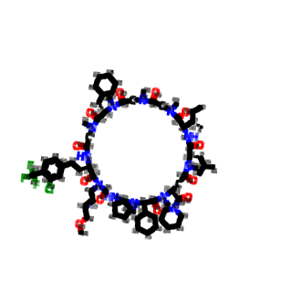 CC[C@H](C)C1NC(=O)[C@H](CC(C)C)N(C)C(=O)C[C@@H](C(=O)N2CCCCC2)N(C)C(=O)C(C2CCCCC2)N(C)C2(CCCC2)NC(=O)N(C/C=C/COC)C(=O)[C@@H](CCc2ccc(C(F)(F)F)c(Cl)c2)NC(=O)CN(C)C(=O)[C@H](CC2CCCCC2)N(C)C(=O)CN(C)C(=O)CN(C)C1=O